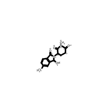 Cc1ccc2c(c1)C(O)N(C1CCC(=O)N(C)C1=O)C2=O